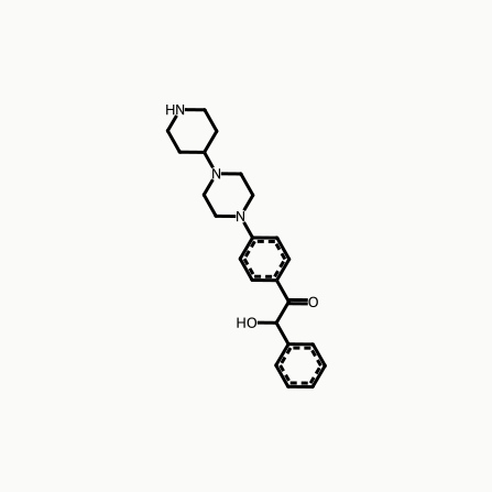 O=C(c1ccc(N2CCN(C3CCNCC3)CC2)cc1)C(O)c1ccccc1